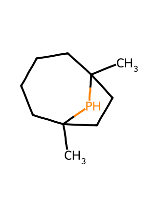 CC12CCCCC(C)(CC1)P2